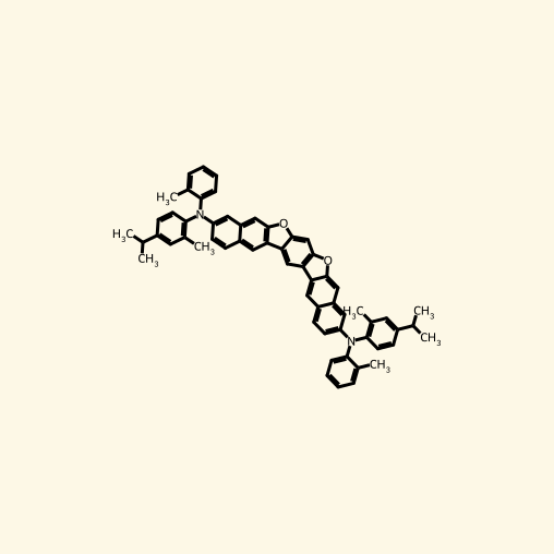 Cc1ccccc1N(c1ccc2cc3c(cc2c1)oc1cc2oc4cc5cc(N(c6ccccc6C)c6ccc(C(C)C)cc6C)ccc5cc4c2cc13)c1ccc(C(C)C)cc1C